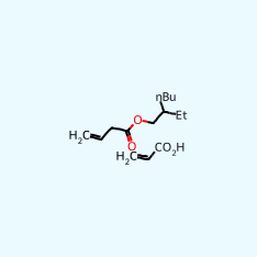 C=CC(=O)O.C=CCC(=O)OCC(CC)CCCC